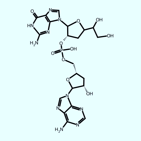 Nc1nc2c(ncn2C2OC(C(O)CO)C[C@@H]2OP(=O)(O)OC[C@@H]2C[C@H](O)C(n3cnc4c(N)ncnc43)O2)c(=O)[nH]1